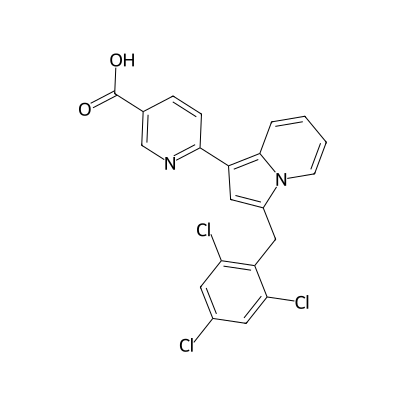 O=C(O)c1ccc(-c2cc(Cc3c(Cl)cc(Cl)cc3Cl)n3ccccc23)nc1